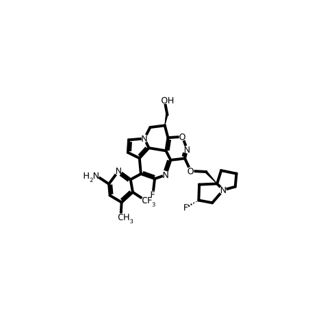 Cc1cc(N)nc(C2=C(F)N=C3C(OC[C@@]45CCCN4C[C@H](F)C5)=NOC4=C3c3c2ccn3C[C@H]4CO)c1C(F)(F)F